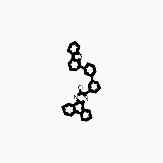 Clc1nc2c3ccccc3c3ccccc3c2nc1-c1cccc(-c2cccc(-c3cccc4c3sc3ccccc34)c2)c1